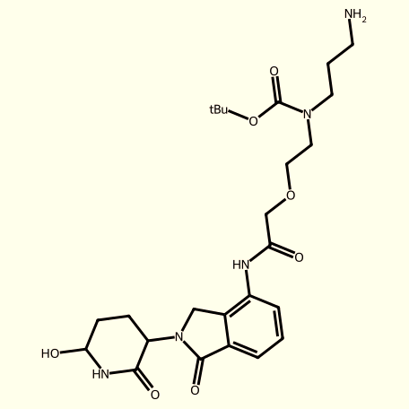 CC(C)(C)OC(=O)N(CCCN)CCOCC(=O)Nc1cccc2c1CN(C1CCC(O)NC1=O)C2=O